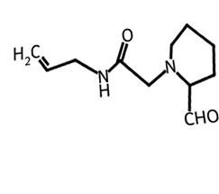 C=CCNC(=O)CN1CCCCC1C=O